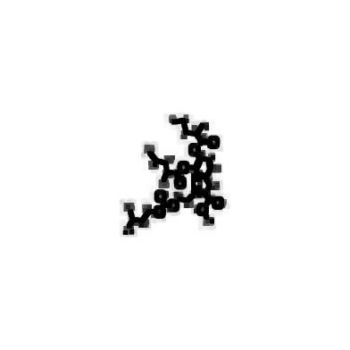 CCCC(C)C(=O)Oc1ccc(C[C@H](NCCOC(=O)OCCC(C)C)C(=O)OC)cc1OC(=O)C(C)CCC